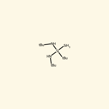 CC(C)(C)N[Si]([SiH3])(NC(C)(C)C)C(C)(C)C